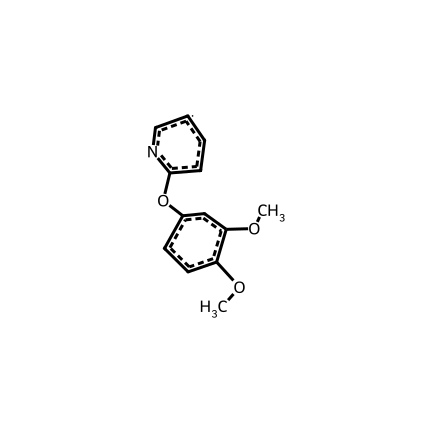 COc1ccc(Oc2cc[c]cn2)cc1OC